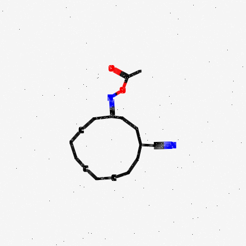 CC(=O)ON=C1CCCCCCCCCC(C#N)CC1